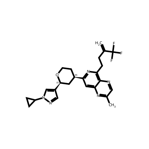 C=C(CCc1nc([C@@H]2CCO[C@H](c3cnn(C4CC4)c3)C2)cc2nc(C)cnc12)C(F)(F)F